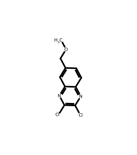 COCc1ccc2nc(Cl)c(Cl)nc2c1